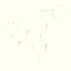 O=C1c2ccccc2C(=O)N1c1cc(Cl)ccc1/C=C/c1n[nH]c2ccccc12